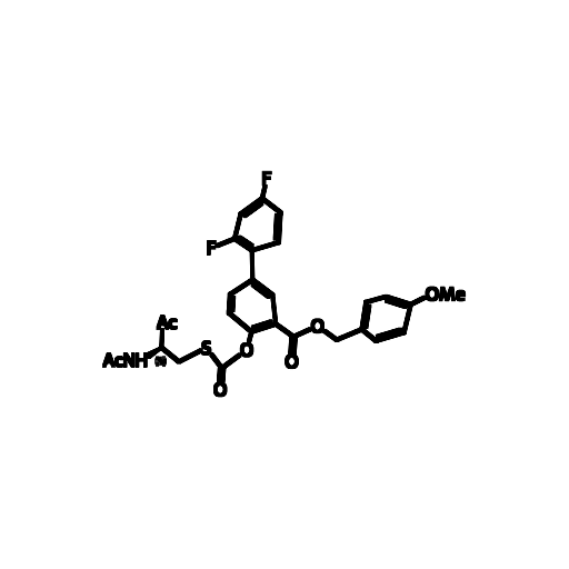 COc1ccc(COC(=O)c2cc(-c3ccc(F)cc3F)ccc2OC(=O)SC[C@@H](NC(C)=O)C(C)=O)cc1